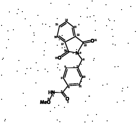 CONC(=O)c1ccc(CN2C(=O)c3ccccc3C2=O)cc1